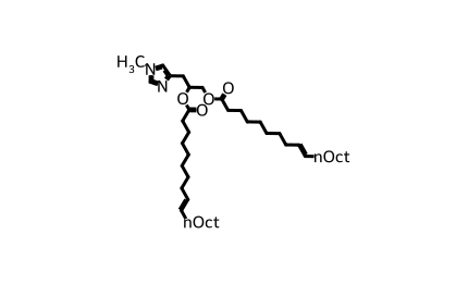 CCCCCCCCC=CCCCCCCCC(=O)OCC(Cc1cn(C)cn1)OC(=O)CCCCCCCC=CCCCCCCCC